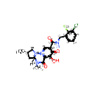 C[C@H]1C[C@H]2N(C)C(=O)c3c(O)c(=O)c(C(=O)NCc4cccc(Cl)c4F)cn3N2C1